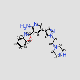 Nc1ncc(-c2cnn(CCN3CCNCC3)c2)cc1-c1nc2ccccc2o1